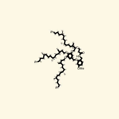 COc1ccc(CNC(=O)CC[C]=O)c(OCc2cc(OCCC(C)CCC[C@H](C)CCC[C@H](C)CCCC(C)C)c(OCCC(C)CCC[C@H](C)CCC[C@H](C)CCCC(C)C)c(OCCC(C)CCC[C@H](C)CCC[C@H](C)CCCC(C)C)c2)c1